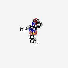 Cc1ccc(S(=O)(=O)n2cc(-c3cccc(C#N)c3)c3c(N4CCOCC4)cc(C)nc32)cc1